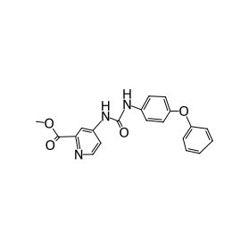 COC(=O)c1cc(NC(=O)Nc2ccc(Oc3ccccc3)cc2)ccn1